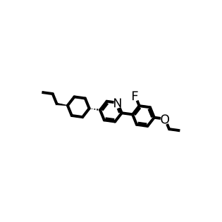 CCC[C@H]1CC[C@H](c2ccc(-c3ccc(OCC)cc3F)nc2)CC1